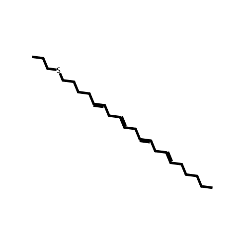 CCCCCC=CCC=CCC=CCC=CCCCCSCCC